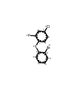 Fc1cc(Cl)ccc1Sc1ccccc1Br